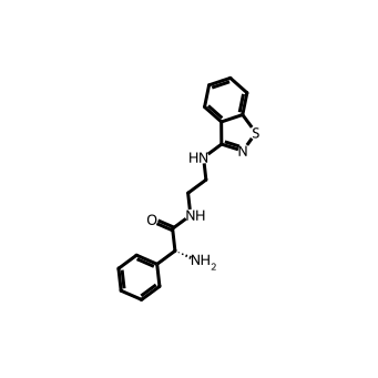 N[C@@H](C(=O)NCCNc1nsc2ccccc12)c1ccccc1